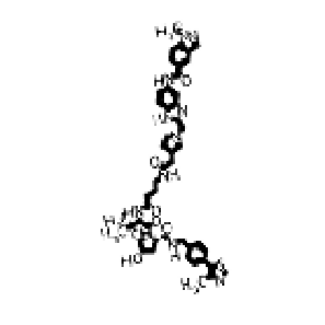 Cc1ncsc1-c1ccc(CNC(=O)[C@@H]2C[C@@H](O)CN2C(=O)C(NC(=O)CCCNC(=O)CC2CCN(Cc3nc4cc(NC(=O)c5ccc6c(cnn6C)c5)ccc4[nH]3)C2)C(C)(C)C)cc1